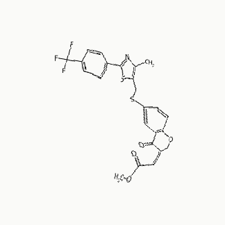 COC(=O)C=C1COc2ccc(SCc3sc(-c4ccc(C(F)(F)F)cc4)nc3C)cc2C1=O